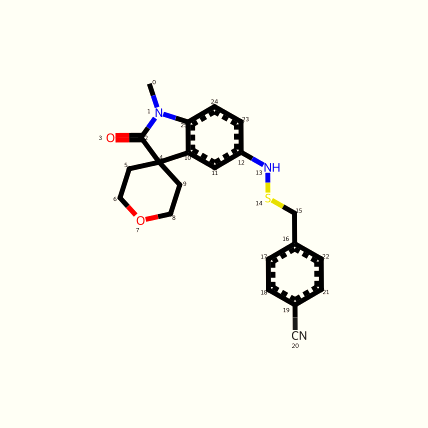 CN1C(=O)C2(CCOCC2)c2cc(NSCc3ccc(C#N)cc3)ccc21